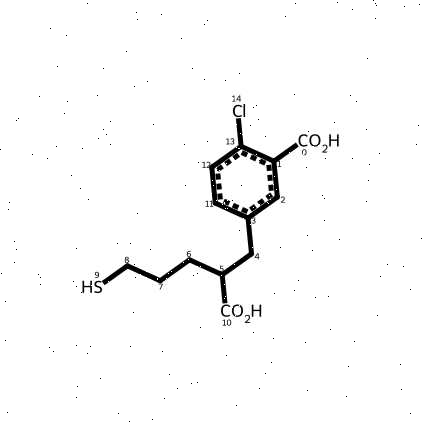 O=C(O)c1cc(CC(CCCS)C(=O)O)ccc1Cl